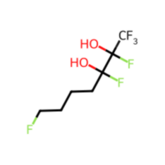 OC(F)(CCCCF)C(O)(F)C(F)(F)F